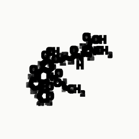 C=CCOC(=O)N1c2cc(OCCCC(=O)Nc3cc(C(=O)O)n(C)c3)c(OC)cc2C(=O)N2CCCC[C@H]2C1OC1CCCCO1